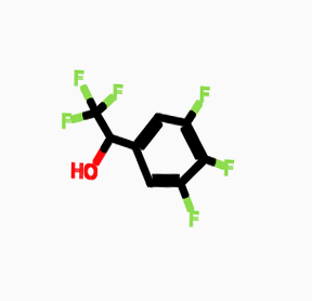 OC(c1cc(F)c(F)c(F)c1)C(F)(F)F